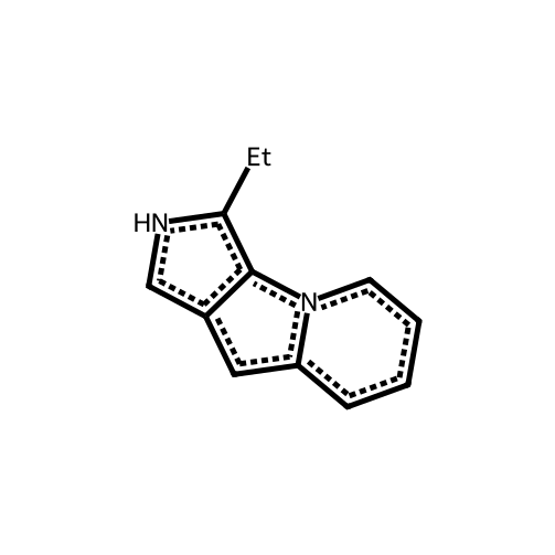 CCc1[nH]cc2cc3ccccn3c12